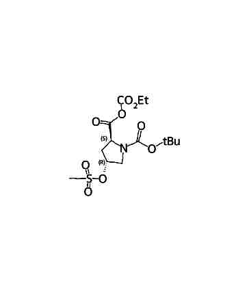 CCOC(=O)OC(=O)[C@@H]1C[C@@H](OS(C)(=O)=O)CN1C(=O)OC(C)(C)C